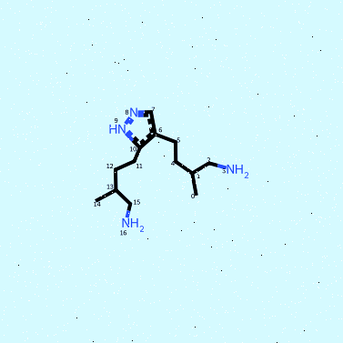 CC(CN)CCc1cn[nH]c1CCC(C)CN